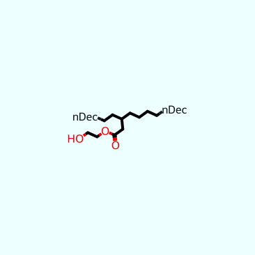 CCCCCCCCCCCCCCC(CCCCCCCCCCCC)CC(=O)OCCO